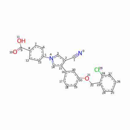 N#Cc1cn(-c2ccc(C(=O)O)cc2)cc1-c1cccc(OCc2ccccc2Cl)c1